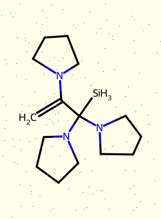 C=C(N1CCCC1)C([SiH3])(N1CCCC1)N1CCCC1